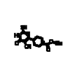 CC(C)(C)OC(=O)N1CCC(c2nc(S)[nH]c(=O)c2C#N)CC1